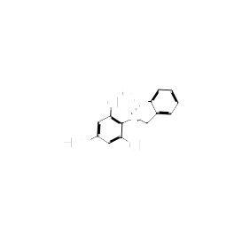 Cc1cc(Cl)c(N2Cc3ccccc3[S+]2[O-])c(Cl)c1